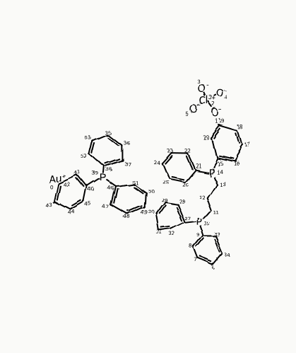 [Au+].[O-][Cl+3]([O-])([O-])[O-].c1ccc(P(CCCP(c2ccccc2)c2ccccc2)c2ccccc2)cc1.c1ccc(P(c2ccccc2)c2ccccc2)cc1